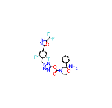 NC1(c2ccccc2)CN(C(=O)Oc2nnn(Cc3c(F)cc(-c4nnc(C(F)F)o4)cc3F)n2)CCO1